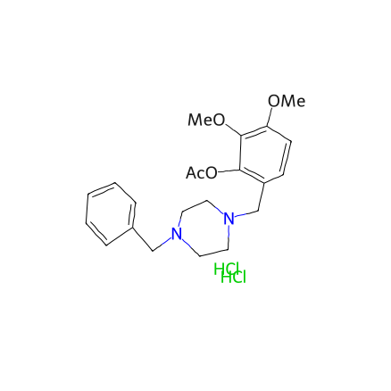 COc1ccc(CN2CCN(Cc3ccccc3)CC2)c(OC(C)=O)c1OC.Cl.Cl